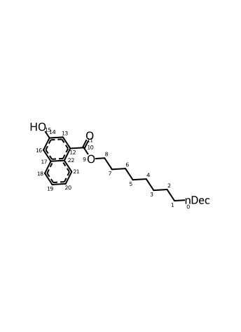 CCCCCCCCCCCCCCCCCCOC(=O)c1cc(O)cc2ccccc12